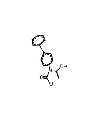 CCC(=O)N(c1ccc(-c2ccccc2)cc1)C(C)O